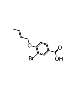 C/C=C/COc1ccc(C(=O)O)cc1Br